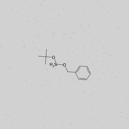 CC(C)(C)O[SiH2]OCc1ccccc1